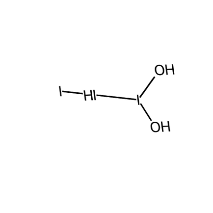 OI(O)[IH]I